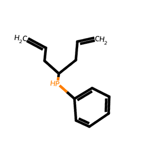 C=CCC(CC=C)Pc1ccccc1